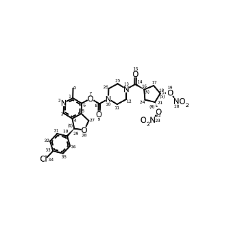 Cc1ncc2c(c1OC(=O)N1CCN(C(=O)[C@H]3C[C@H](O[N+](=O)[O-])[C@H](O[N+](=O)[O-])C3)CC1)CO[C@H]2c1ccc(Cl)cc1